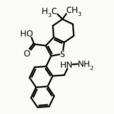 CC1(C)CCc2sc(-c3ccc4ccccc4c3CNN)c(C(=O)O)c2C1